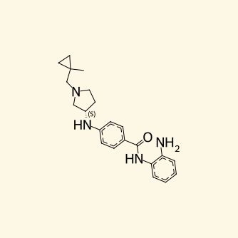 CC1(CN2CC[C@H](Nc3ccc(C(=O)Nc4ccccc4N)cc3)C2)CC1